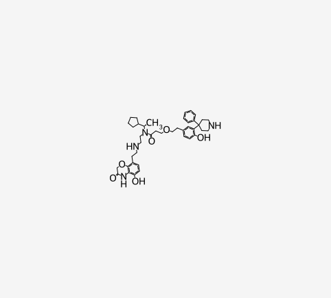 C[C@H](C1CCCC1)N(CCNCCc1ccc(O)c2c1OCC(=O)N2)C(=O)CCOCCc1ccc(O)c(C2(c3ccccc3)CCNCC2)c1